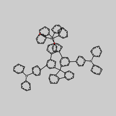 c1ccc(N(c2ccccc2)c2ccc(-c3cc(-c4ccc(N(c5ccccc5)c5ccccc5)cc4)cc(C4(c5cc(-c6ccc(N(c7ccccc7)c7ccccc7)cc6)cc(-c6ccc(N(c7ccccc7)c7ccccc7)cc6)c5)c5ccccc5-c5ccccc54)c3)cc2)cc1